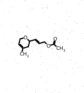 CC(=O)OCC=CC1CC(C)=CCO1